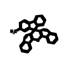 Cc1ccc2c(c1)C1(c3ccccc3-2)c2ccc3ccccc3c2Oc2c1ccc1ccccc21